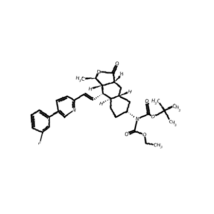 CCOC(=O)N(C(=O)OC(C)(C)C)[C@@H]1CC[C@@H]2[C@@H](C1)C[C@H]1C(=O)O[C@H](C)[C@H]1[C@H]2/C=C/c1ccc(-c2cccc(F)c2)cn1